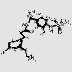 CCCc1cc(F)ccc1C=CC(=O)N[C@H](C)c1cc(F)c(NS(C)(=O)=O)c(F)c1